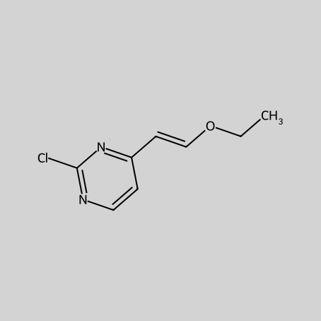 CCOC=Cc1ccnc(Cl)n1